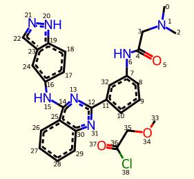 CN(C)CC(=O)Nc1cccc(-c2nc(Nc3ccc4[nH]ncc4c3)c3ccccc3n2)c1.COCC(=O)Cl